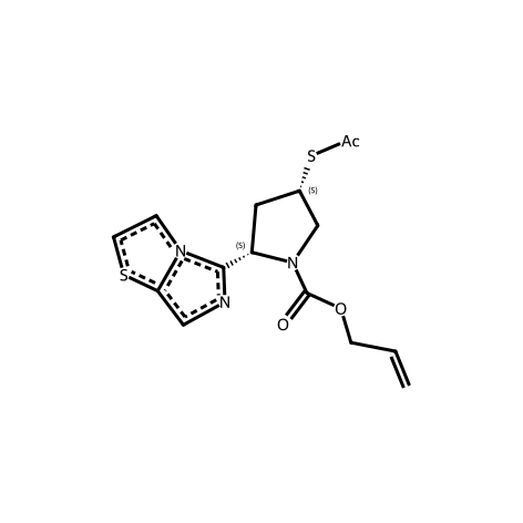 C=CCOC(=O)N1C[C@@H](SC(C)=O)C[C@H]1c1ncc2sccn12